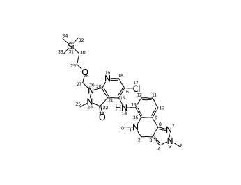 CN1Cc2cn(C)nc2-c2cccc(Nc3c(Cl)cnc4c3c(=O)n(C)n4COCC[Si](C)(C)C)c21